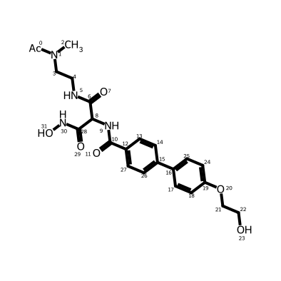 CC(=O)N(C)CCNC(=O)C(NC(=O)c1ccc(-c2ccc(OCCO)cc2)cc1)C(=O)NO